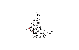 CCCCc1ccc(-c2cccc(CCCC)c2-c2ccccc2-c2ccccc2-c2ccc(CCCC)cc2CCCC)cc1